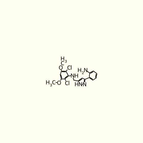 COc1cc(OC)c(Cl)c(NCc2cc(-c3ccccc3N)n[nH]2)c1Cl